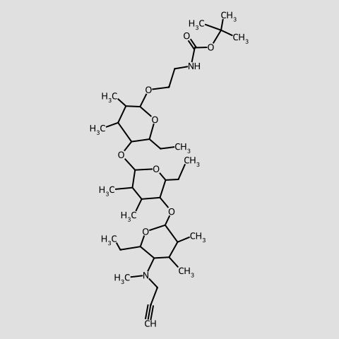 C#CCN(C)C1C(CC)OC(OC2C(CC)OC(OC3C(CC)OC(OCCNC(=O)OC(C)(C)C)C(C)C3C)C(C)C2C)C(C)C1C